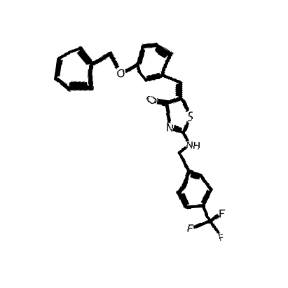 O=C1N=C(NCc2ccc(C(F)(F)F)cc2)S/C1=C/c1cccc(OCc2ccccc2)c1